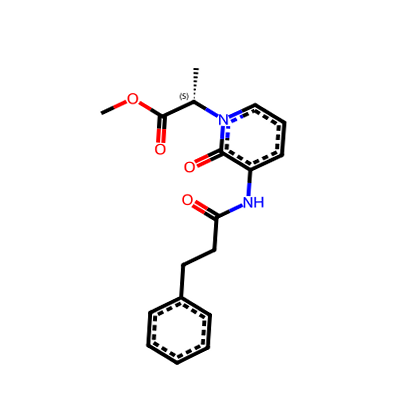 COC(=O)[C@H](C)n1cccc(NC(=O)CCc2ccccc2)c1=O